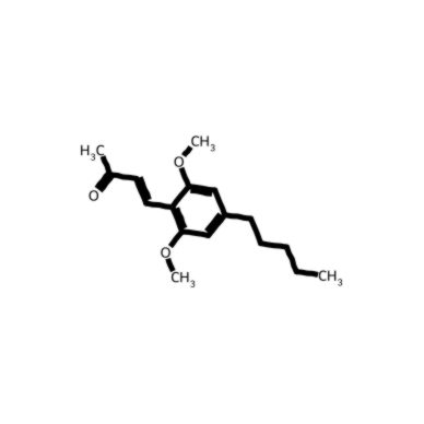 CCCCCc1cc(OC)c(/C=C/C(C)=O)c(OC)c1